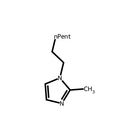 CCCCCCCn1ccnc1C